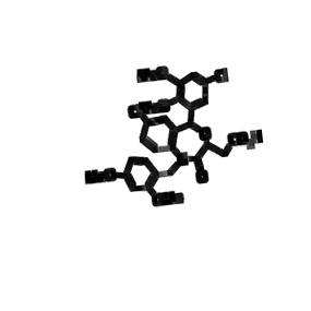 COc1ccc(CN2C(=O)C(CC(=O)O)OC(c3cc(Cl)cc(OC)c3OC)c3cc(Cl)ccc32)c(OC)c1